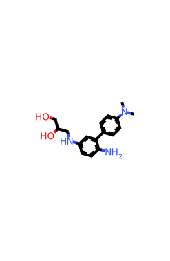 CN(C)c1ccc(-c2cc(NCC(O)CO)ccc2N)cc1